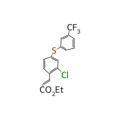 CCOC(=O)C=Cc1ccc(Sc2cccc(C(F)(F)F)c2)cc1Cl